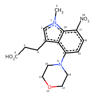 Cn1cc(CCC(=O)O)c2c(N3CCOCC3)ccc([N+](=O)[O-])c21